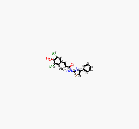 N#C/C(=C\c1cc(Br)c(O)c(Br)c1)C(=O)Nc1nc(-c2ccccc2)cs1